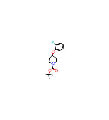 CC(C)(C)OC(=O)N1CCC(Oc2ccccc2F)CC1